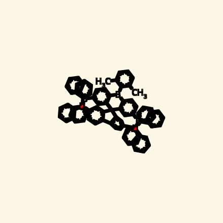 Cc1cccc(C)c1B1c2ccc(B(c3ccccc3)c3ccccc3)cc2C2(c3cc(B(c4ccccc4)c4ccccc4)ccc31)c1cc(N(c3ccccc3)c3ccccc3)ccc1-c1ccc(N(c3ccccc3)c3ccccc3)cc12